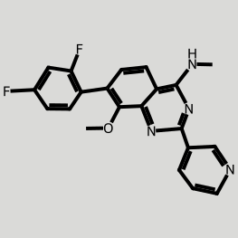 CNc1nc(-c2cccnc2)nc2c(OC)c(-c3ccc(F)cc3F)ccc12